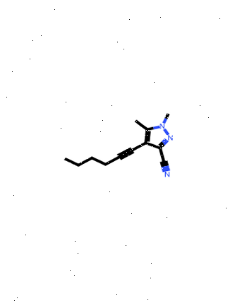 CCCCC#Cc1c(C#N)nn(C)c1C